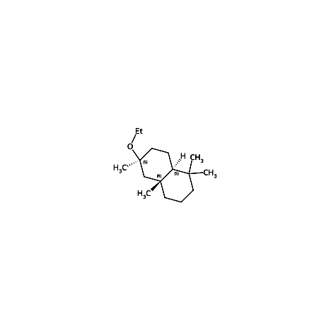 CCO[C@@]1(C)CC[C@H]2C(C)(C)CCC[C@]2(C)C1